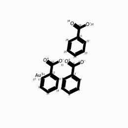 O=C([O-])c1ccccc1.O=C([O-])c1ccccc1.O=C([O-])c1ccccc1.[Au+3]